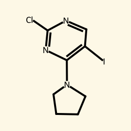 Clc1ncc(I)c(N2CCCC2)n1